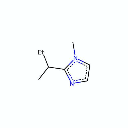 CCC(C)c1nccn1C